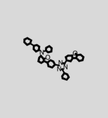 c1ccc(-c2ccc(N(c3ccccc3)c3cccc4c3oc3cc(-c5nc(-c6ccccc6)nc(-c6ccc7oc8ccccc8c7c6)n5)ccc34)cc2)cc1